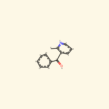 Cc1ncccc1C(=O)c1ccccc1